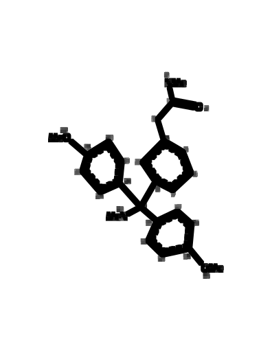 CNC(=O)Cc1cccc(C(NC)(c2ccc(OC)cc2)c2ccc(OC)cc2)c1